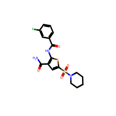 NC(=O)c1cc(S(=O)(=O)N2CCCCC2)sc1NC(=O)c1cccc(F)c1